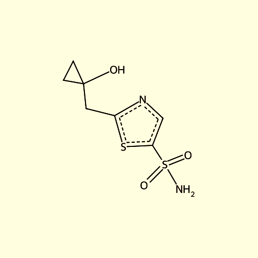 NS(=O)(=O)c1cnc(CC2(O)CC2)s1